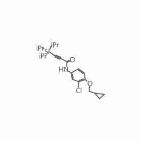 CC(C)[Si](C#CC(=O)Nc1ccc(OCC2CC2)c(Cl)c1)(C(C)C)C(C)C